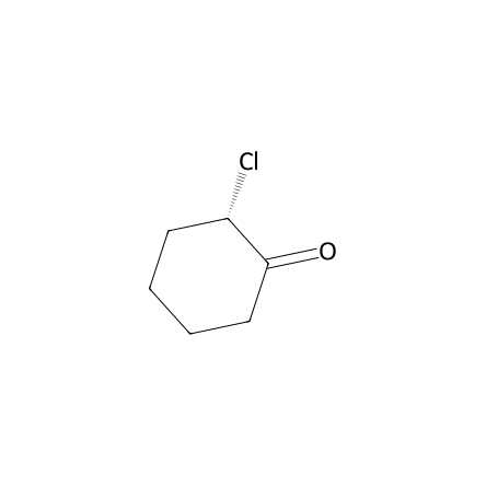 O=C1CCCC[C@@H]1Cl